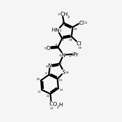 Cc1[nH]c(C(=O)N(c2nc3ccc(C(=O)O)cc3s2)C(C)C)c(Cl)c1Cl